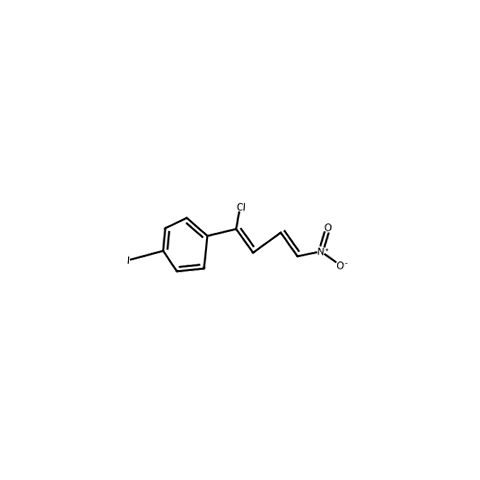 O=[N+]([O-])C=CC=C(Cl)c1ccc(I)cc1